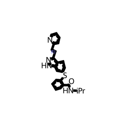 CC(C)NC(=O)c1ccccc1Sc1ccc2c(/C=C/c3ccccn3)n[nH]c2c1